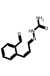 NC(=O)N/N=C/C=C\c1ccccc1C=O